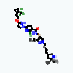 Cc1nn(CCCCC2CNC(C)(C)C2)cc1SNC(=O)c1ccc(N2C=CC(OCCC3(C(F)(F)F)CC3)N2)nc1Cl